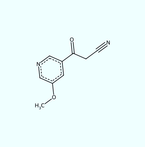 COc1cncc(C(=O)CC#N)c1